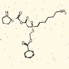 NCCCCCCP(=O)(CC(=O)OC(=O)[C@@H]1CCCN1)OCOC(=O)c1ccccc1